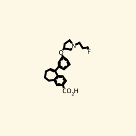 O=C(O)c1ccc2c(c1)CCCC=C2c1cccc(OC2CCN(CCCF)C2)c1